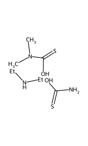 CCNCC.CN(C)C(O)=S.NC(O)=S